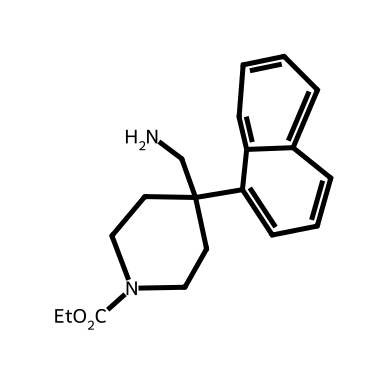 CCOC(=O)N1CCC(CN)(c2cccc3ccccc23)CC1